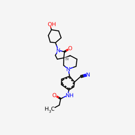 CCC(=O)Nc1ccc(N2CCC[C@]3(CCN(C4CCC(O)CC4)C3=O)C2)c(C#N)c1